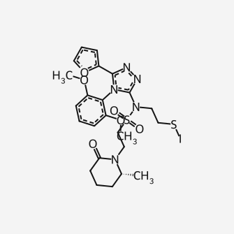 COc1cccc(OC)c1-n1c(-c2ccco2)nnc1N(CCSI)S(=O)(=O)CCN1C(=O)CCC[C@H]1C